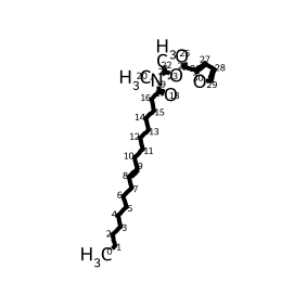 CCCCCCCCC=CCCCCCCCC(=O)N(C)C(C)OC(=O)c1ccco1